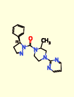 CC1CN(c2ncccn2)CCN1C(=O)N1N=CC[C@H]1c1ccccc1